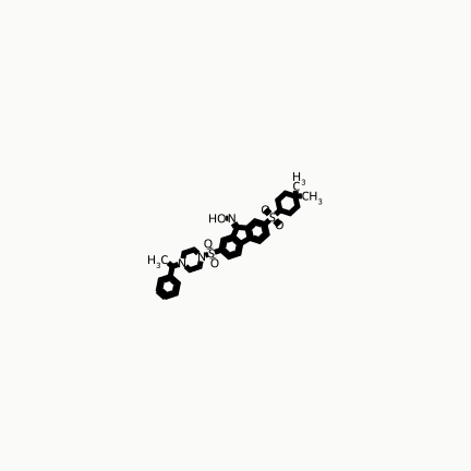 CC(c1cc#ccc1)N1CCN(S(=O)(=O)c2ccc3c(c2)/C(=N\O)c2cc(S(=O)(=O)C4CCC(C)(C)CC4)ccc2-3)CC1